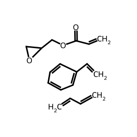 C=CC(=O)OCC1CO1.C=CC=C.C=Cc1ccccc1